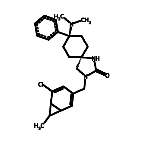 CC1C2C=C(CN3C[C@]4(CC[C@](c5ccccc5)(N(C)C)CC4)NC3=O)C=C(Cl)C12